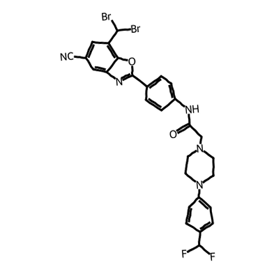 N#Cc1cc(C(Br)Br)c2oc(-c3ccc(NC(=O)CN4CCN(c5ccc(C(F)F)cc5)CC4)cc3)nc2c1